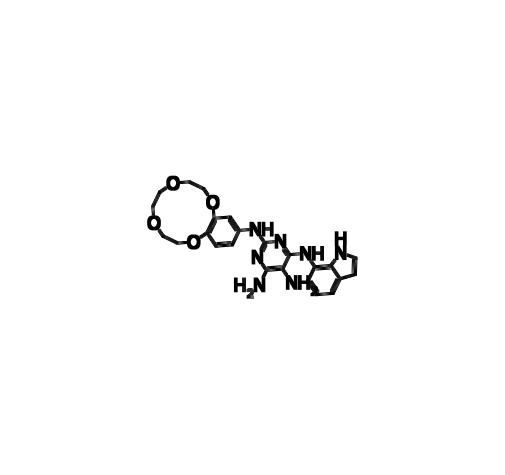 Nc1nc(Nc2ccc3c(c2)OCCOCCOCCO3)nc(Nc2cccc3cc[nH]c23)c1N